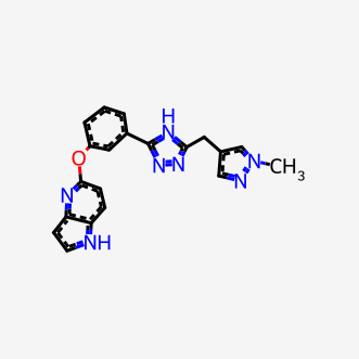 Cn1cc(Cc2nnc(-c3cccc(Oc4ccc5[nH]ccc5n4)c3)[nH]2)cn1